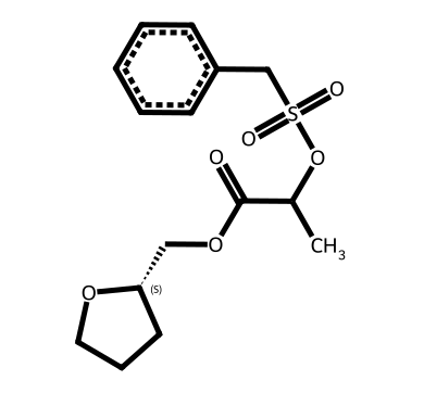 CC(OS(=O)(=O)Cc1ccccc1)C(=O)OC[C@@H]1CCCO1